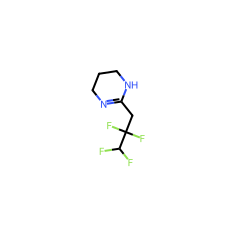 FC(F)C(F)(F)CC1=NCCCN1